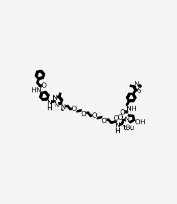 Cc1cc(N(C)CCOCCOCCOCCOCCC(=O)N[C@H](C(=O)N2C[C@H](O)C[C@H]2C(=O)NCc2ccc(-c3scnc3C)cc2)C(C)(C)C)nc(Nc2ccc(NC(=O)Cc3ccccc3)cc2)n1